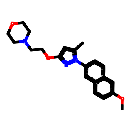 COc1ccc2cc(-n3nc(OCCN4CCOCC4)cc3C)ccc2c1